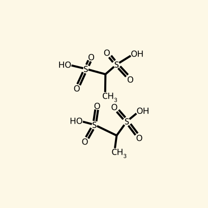 CC(S(=O)(=O)O)S(=O)(=O)O.CC(S(=O)(=O)O)S(=O)(=O)O